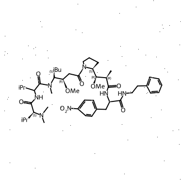 CC[C@H](C)C([C@@H](CC(=O)N1CCC[C@H]1[C@H](OC)[C@@H](C)C(=O)NC(Cc1ccc([N+](=O)[O-])cc1)C(=O)NCCc1ccccc1)OC)N(C)C(=O)C(NC(=O)[C@H](C(C)C)N(C)C)C(C)C